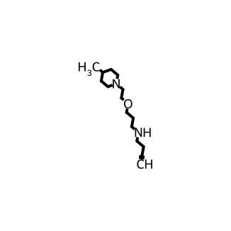 C#CCCNCCCOCCN1CCC(C)CC1